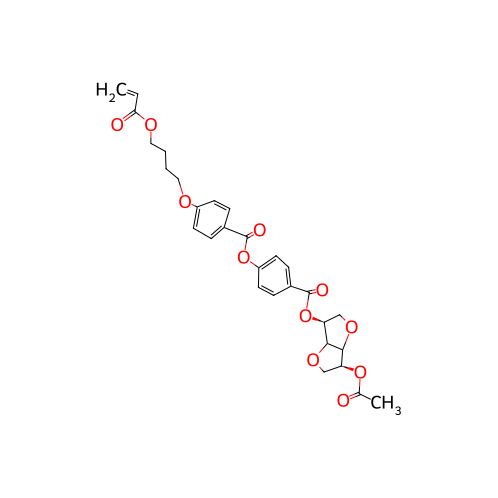 C=CC(=O)OCCCCOc1ccc(C(=O)Oc2ccc(C(=O)O[C@H]3COC4C3OC[C@@H]4OC(C)=O)cc2)cc1